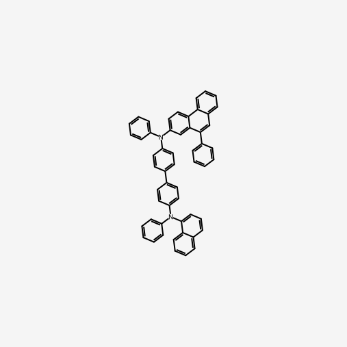 c1ccc(-c2cc3ccccc3c3ccc(N(c4ccccc4)c4ccc(-c5ccc(N(c6ccccc6)c6cccc7ccccc67)cc5)cc4)cc23)cc1